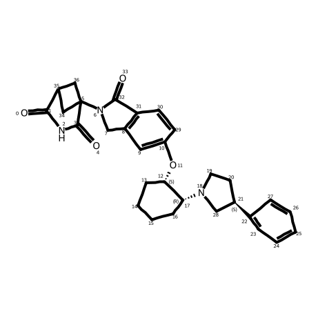 O=C1NC(=O)C2(N3Cc4cc(O[C@H]5CCCC[C@H]5N5CC[C@@H](c6ccccc6)C5)ccc4C3=O)CC1C2